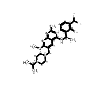 COc1nc2nc(C)nc(N[C@H](C)c3cccc(C(F)F)c3F)c2cc1CN1CCN(C(C)C)CC1